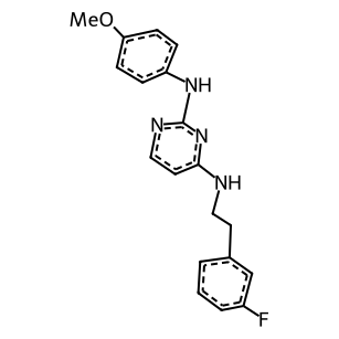 COc1ccc(Nc2nccc(NCCc3cccc(F)c3)n2)cc1